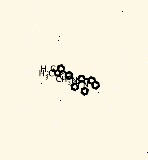 CC1(C)CC(C)(C)c2c(-c3ccc(-n4c5ccccc5c5c4ccc4c6ccc7ccccc7c6n(-c6ccccc6)c45)cc3)cccc21